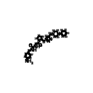 Nc1ccc(CNC(=O)NCC(=O)N2CCCC2Cn2cc(CN3CCN(c4ccccc4)CC3)nn2)cc1